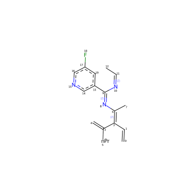 C=C/C(C(=C)CCC)=C(C)/N=C(\N=C/C)c1cncc(F)c1